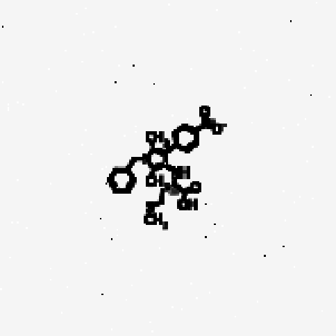 CSCC[C@H](Nc1c(-c2ccc([N+](=O)[O-])cc2)c(C)n(Cc2ccccc2)c1C)C(=O)O